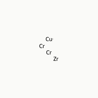 [Cr].[Cr].[Cu].[Zr]